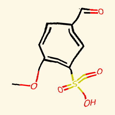 COc1ccc([C]=O)cc1S(=O)(=O)O